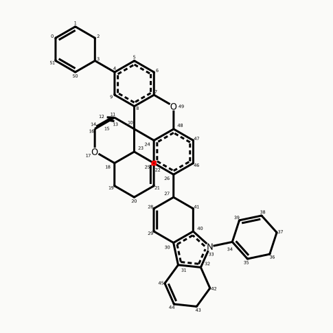 C1=CCC(c2ccc3c(c2)C2(C4=CCCCC4OC4CCC=CC42)c2cc(C4C=Cc5c6c(n(C7=CCCC=C7)c5C4)CCC=C6)ccc2O3)C=C1